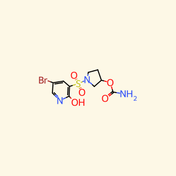 NC(=O)OC1CCN(S(=O)(=O)c2cc(Br)cnc2O)C1